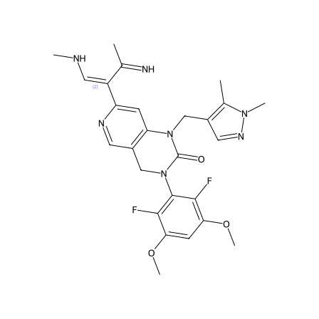 CN/C=C(\C(C)=N)c1cc2c(cn1)CN(c1c(F)c(OC)cc(OC)c1F)C(=O)N2Cc1cnn(C)c1C